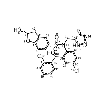 CC1Oc2ccc(S(=O)(=O)N(Cc3nnn[nH]3)c3ccc(Cl)cc3C(O)c3ccccc3Cl)cc2O1